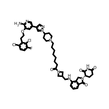 Nc1ncc(-c2cnn(C3CCN(CCCCCCCC(=O)N4CC(CNc5cccc6c5CN([C@H]5CCC(=O)NC5=O)C6=O)C4)CC3)c2)cc1OCCc1c(Cl)ccc(F)c1Cl